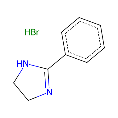 Br.c1ccc(C2=NCCN2)cc1